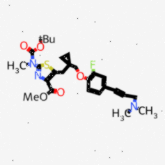 COC(=O)c1nc(N(C)C(=O)OC(C)(C)C)sc1CC1(COc2ccc(C#CCN(C)C)cc2F)CC1